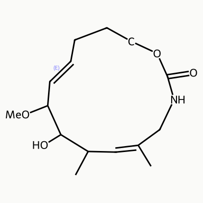 COC1/C=C/CCCOC(=O)NCC(C)=CC(C)C1O